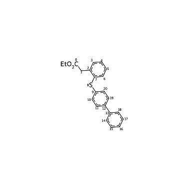 CCOC(=O)Cc1ccccc1Sc1ccc(-c2ccccc2)cc1